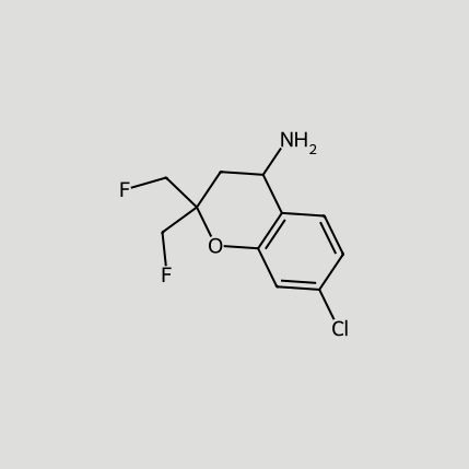 NC1CC(CF)(CF)Oc2cc(Cl)ccc21